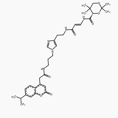 CN(C)c1ccc2c(CC(=O)NCCC[SH]3C=NC(CCNC(=O)/C=C/NC(=O)[C@@H]4OC(C)(C)OCC4(C)C)=C3)cc(=O)oc2c1